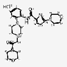 Cl.O=C(Nc1ccccc1N1CCN(CC(=O)N2CCOCC2)CC1)c1csc(N2CCOCC2)n1